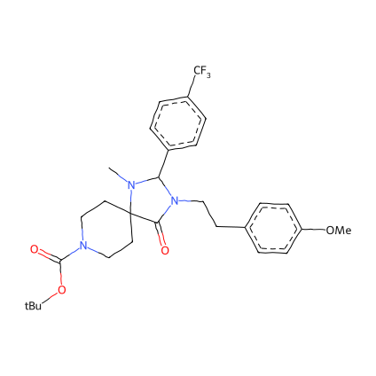 COc1ccc(CCN2C(=O)C3(CCN(C(=O)OC(C)(C)C)CC3)N(C)C2c2ccc(C(F)(F)F)cc2)cc1